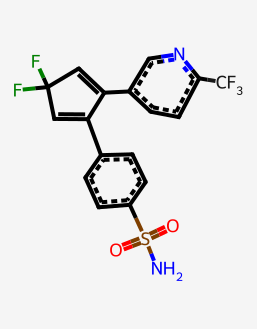 NS(=O)(=O)c1ccc(C2=CC(F)(F)C=C2c2ccc(C(F)(F)F)nc2)cc1